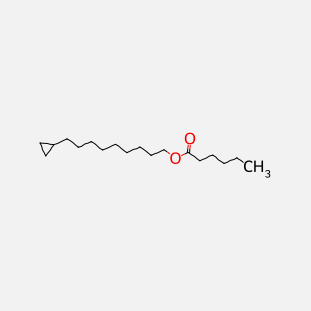 CCCCCC(=O)OCCCCCCCCCC1CC1